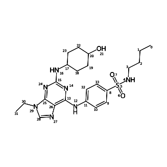 CCCCNS(=O)(=O)c1ccc(Nc2nc(NC3CCC(O)CC3)nc3c2ncn3CC)cc1